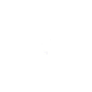 CCOC(=O)N1c2ccc(OC)nc2CCC1CC